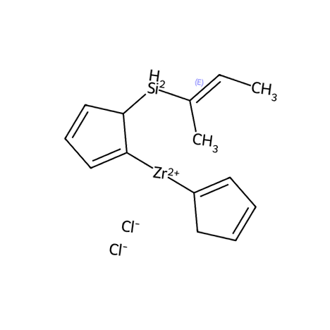 C/C=C(\C)[SiH2]C1C=CC=[C]1[Zr+2][C]1=CC=CC1.[Cl-].[Cl-]